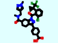 CN(Cc1cnn(C)c1)C(=O)C1CCc2c(C3=CCC(C(=O)O)CC3)nn(C(=O)c3c(Cl)cccc3C3(C(F)(F)F)CC3)c2C1